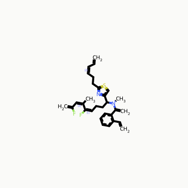 C=C/C=C\CCc1nc(C(CC/C=C(F)\C(C)=C/C(=C)F)N(C)C(=C)c2ccccc2C=C)cs1